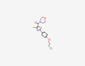 Cc1nc(-c2ccc(OCCCCl)cc2)oc1C(=O)N1CCOCC1